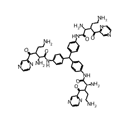 NCCC(C(=O)c1cnccn1)[C@H](N)C(=O)Nc1ccc(C(c2ccc(NC(=O)[C@@H](N)C(CCN)C(=O)c3cnccn3)cc2)c2ccc(NC(=O)[C@@H](N)C(CCN)C(=O)c3cnccn3)cc2)cc1